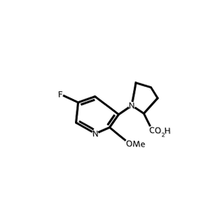 COc1ncc(F)cc1N1CCCC1C(=O)O